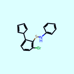 Brc1cccc(C2C=CC=C2)c1SNc1ccccc1